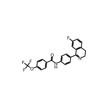 O=C(Nc1ccc(C2=NCCc3ccc(F)cc32)cc1)c1ccc(OC(F)(F)F)cc1